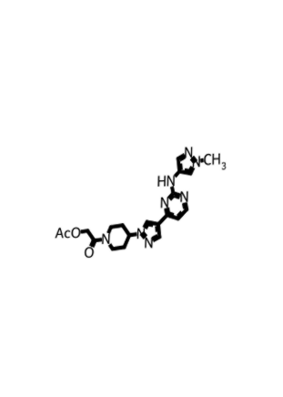 CC(=O)OCC(=O)N1CCC(n2cc(-c3ccnc(Nc4cnn(C)c4)n3)cn2)CC1